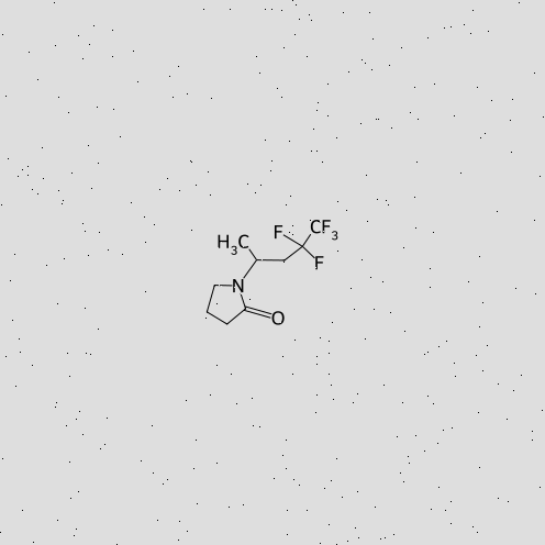 CC(CC(F)(F)C(F)(F)F)N1CCCC1=O